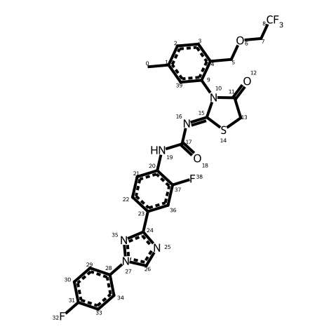 Cc1ccc(COCC(F)(F)F)c(N2C(=O)CSC2=NC(=O)Nc2ccc(-c3ncn(-c4ccc(F)cc4)n3)cc2F)c1